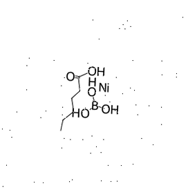 CCCCCC(=O)O.OB(O)O.[Ni]